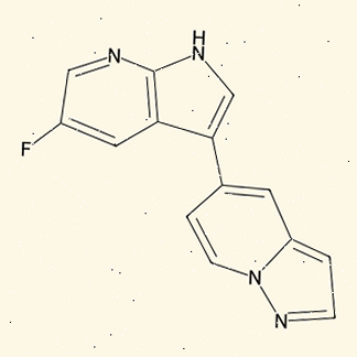 Fc1cnc2[nH]cc(-c3ccn4nccc4c3)c2c1